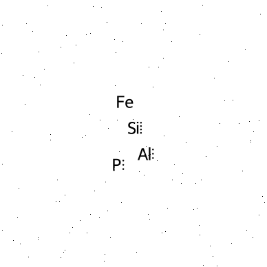 [Al].[Fe].[P].[Si]